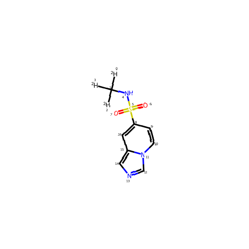 [2H]C([2H])([2H])NS(=O)(=O)c1ccn2cncc2c1